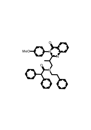 COc1ccc(-n2c(C(C)CN(CCc3ccccc3)C(=O)C(c3ccccc3)c3ccccc3)nc3ccccc3c2=O)cc1